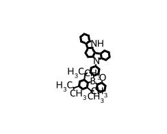 CC(C)c1cc(C(C)C)c(B2c3ccccc3Oc3cc(-n4c5ccccc5c5c6[nH]c7ccccc7c6ccc54)ccc32)c(C(C)C)c1